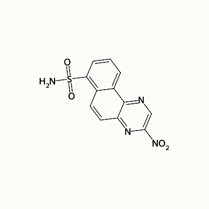 NS(=O)(=O)c1cccc2c1ccc1nc([N+](=O)[O-])cnc12